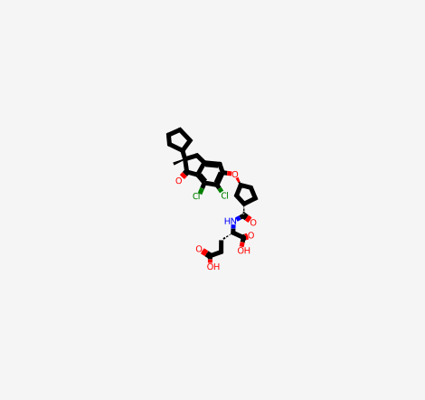 C[C@@]1(C2CCCC2)Cc2cc(O[C@H]3CC[C@H](C(=O)N[C@@H](CCC(=O)O)C(=O)O)C3)c(Cl)c(Cl)c2C1=O